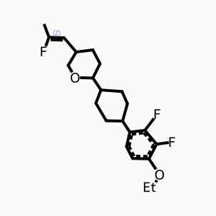 CCOc1ccc(C2CCC(C3CCC(/C=C(/C)F)CO3)CC2)c(F)c1F